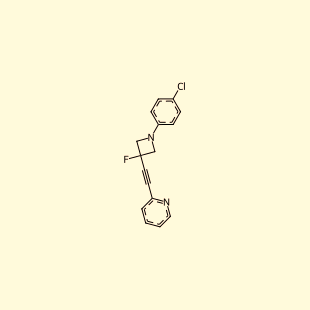 FC1(C#Cc2ccccn2)CN(c2ccc(Cl)cc2)C1